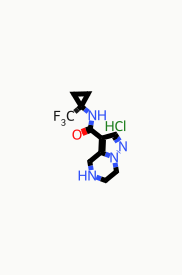 Cl.O=C(NC1(C(F)(F)F)CC1)c1cnn2c1CNCC2